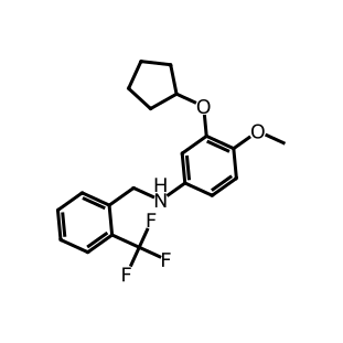 COc1ccc(NCc2ccccc2C(F)(F)F)cc1OC1CCCC1